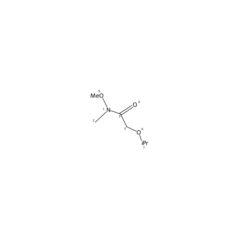 CON(C)C(=O)COC(C)C